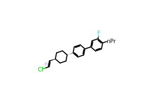 CCCc1ccc(-c2ccc([C@H]3CC[C@H](/C=C/Cl)CC3)cc2)cc1F